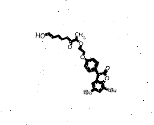 CC(OCCOc1ccc(C2C(=O)Oc3c2cc(C(C)(C)C)cc3C(C)(C)C)cc1)C(=O)CCCCCO